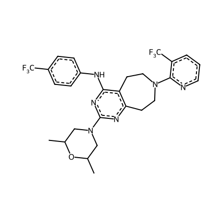 CC1CN(c2nc3c(c(Nc4ccc(C(F)(F)F)cc4)n2)CCN(c2ncccc2C(F)(F)F)CC3)CC(C)O1